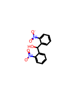 O=[N+]([O-])c1ccccc1C(O)c1ccccc1[N+](=O)[O-]